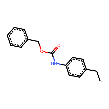 [CH2]Cc1ccc(NC(=O)OCc2ccccc2)cc1